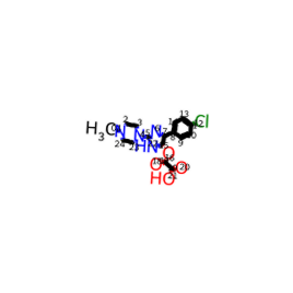 CN1CCN(C2=NC(c3ccc(Cl)cc3)C(OC(=O)C(=O)O)N2)CC1